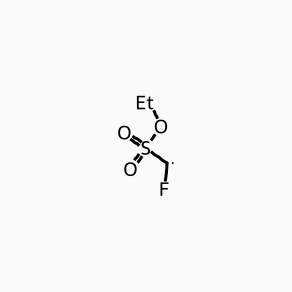 CCOS(=O)(=O)[CH]F